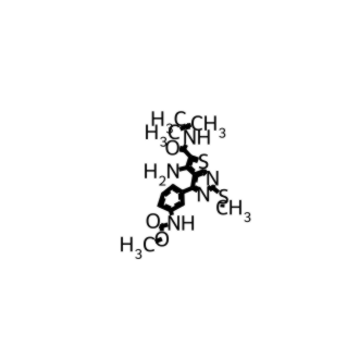 COC(=O)Nc1cccc(-c2nc(SC)nc3sc(C(=O)NC(C)(C)C)c(N)c23)c1